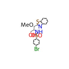 CO[C@H](c1nc2ccccc2s1)C(CO)NS(=O)(=O)c1ccc(Br)cc1